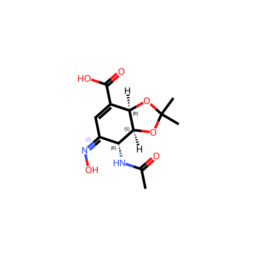 CC(=O)N[C@@H]1/C(=N\O)C=C(C(=O)O)[C@H]2OC(C)(C)O[C@H]21